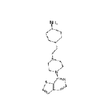 N[C@H]1CC[C@H](CCN2CCN(c3nccc4ccsc34)CC2)CC1